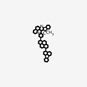 CC1(C)c2ccccc2-c2nc3ccc4ccccc4c3c(-c3ccc(-c4ccc5ccc6c(-c7ccc8c9c(cccc79)-c7ccccc7-8)ccc7ccc4c5c76)cc3)c21